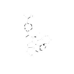 CCC(NC(=O)c1ccc(C(=N)N)cc1)C(c1ccoc1)(C(C(=O)O)N1CCNCC1=O)N1CCNCC1=O